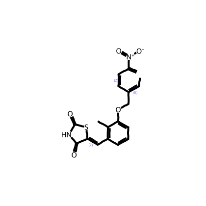 C=C(/C=C\C(=C/C)COc1cccc(/C=C2\SC(=O)NC2=O)c1C)[N+](=O)[O-]